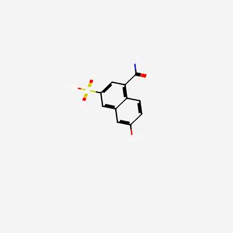 NC(=O)c1cc(S(=O)(=O)O)cc2cc(O)ccc12